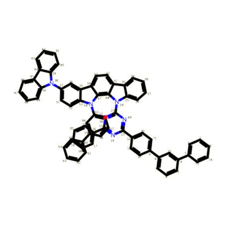 c1ccc(-c2cccc(-c3ccc(-c4nc(-c5ccccc5)nc(-n5c6ccccc6c6ccc7c8cc(-n9c%10ccccc%10c%10ccccc%109)ccc8n(-c8cccc(-c9ccccc9)c8)c7c65)n4)cc3)c2)cc1